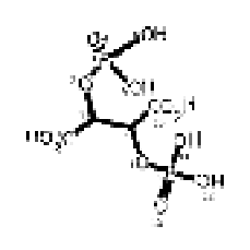 O=C(O)C(OP(=O)(O)O)C(OP(=O)(O)O)C(=O)O